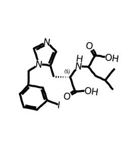 CC(C)CC(N[C@@H](Cc1cncn1Cc1cccc(I)c1)C(=O)O)C(=O)O